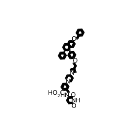 O=C1CCC(NCc2cc(N3CCC(N4CC(CCOC5=CCC([C@@H]6c7ccc(OCc8ccccc8)cc7CC[C@@H]6c6ccccc6)C=C5)C4)CC3)ccc2C(=O)O)C(=O)N1